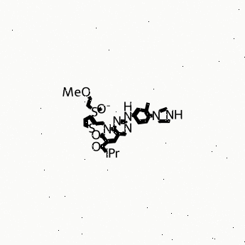 COCC[S+]([O-])c1ccsc1Cn1c(=O)c(C(=O)C(C)C)cc2cnc(Nc3ccc(N4CCNCC4)c(C)c3)nc21